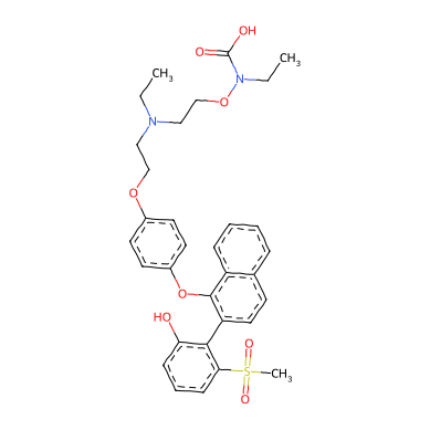 CCN(CCOc1ccc(Oc2c(-c3c(O)cccc3S(C)(=O)=O)ccc3ccccc23)cc1)CCON(CC)C(=O)O